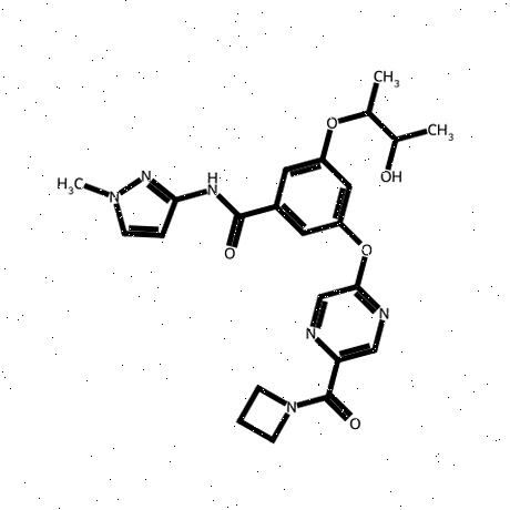 CC(O)C(C)Oc1cc(Oc2cnc(C(=O)N3CCC3)cn2)cc(C(=O)Nc2ccn(C)n2)c1